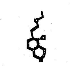 CCOC=Cc1ccc2cnccc2c1Cl